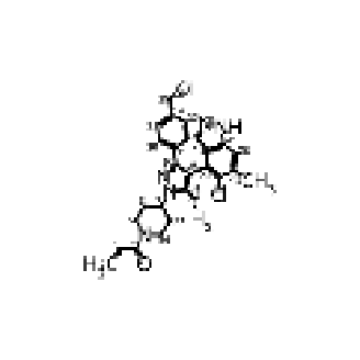 C=CC(=O)N1CCC(n2nc(-c3ccc(CO)cc3)c(-c3c(Cl)c(C)cc4[nH]ncc34)c2C)CC1